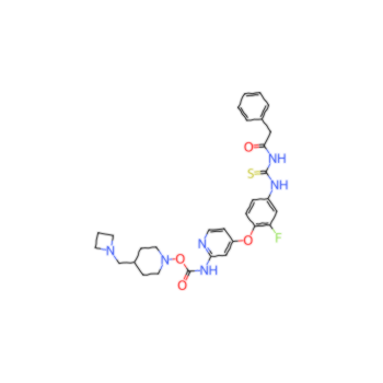 O=C(Cc1ccccc1)NC(=S)Nc1ccc(Oc2ccnc(NC(=O)ON3CCC(CN4CCC4)CC3)c2)c(F)c1